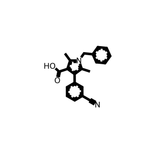 Cc1c(C(=O)O)c(-c2cccc(C#N)c2)c(C)n1Cc1ccccc1